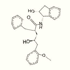 COc1ccccc1C[C@@H](O)C[C@@H](Cc1ccccc1)C(=O)N[C@H]1c2ccccc2C[C@H]1O